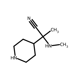 CNC(C)(C#N)C1CCNCC1